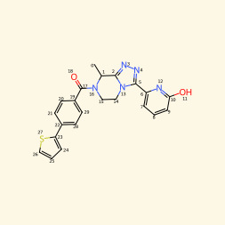 CC1c2nnc(-c3cccc(O)n3)n2CCN1C(=O)c1ccc(-c2cccs2)cc1